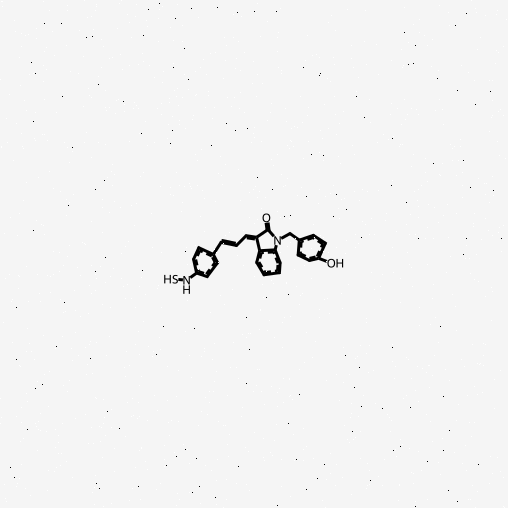 O=C1/C(=C/C=C/c2ccc(NS)cc2)c2ccccc2N1Cc1ccc(O)cc1